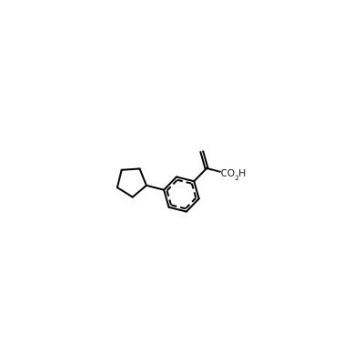 C=C(C(=O)O)c1cccc(C2CCCC2)c1